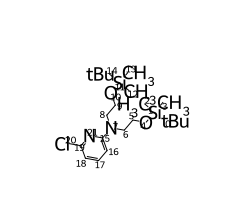 CC(C)(C)[Si](C)(C)OCCN(CCO[Si](C)(C)C(C)(C)C)c1cccc(Cl)n1